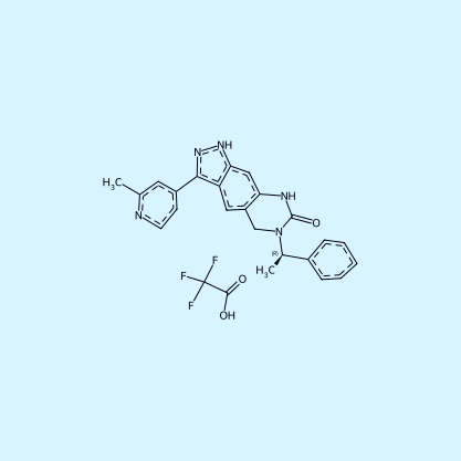 Cc1cc(-c2n[nH]c3cc4c(cc23)CN([C@H](C)c2ccccc2)C(=O)N4)ccn1.O=C(O)C(F)(F)F